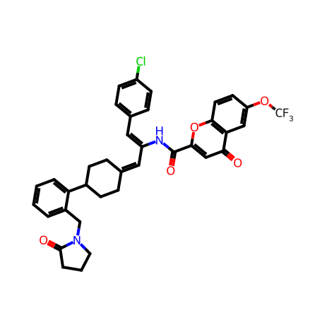 O=C(N/C(C=C1CCC(c2ccccc2CN2CCCC2=O)CC1)=C\c1ccc(Cl)cc1)c1cc(=O)c2cc(OC(F)(F)F)ccc2o1